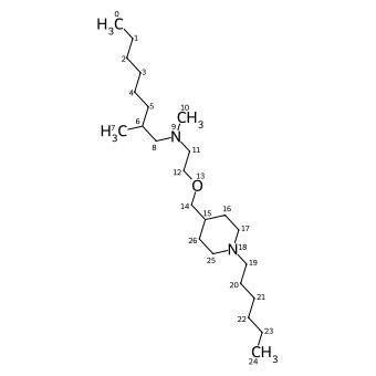 CCCCCCC(C)CN(C)CCOCC1CCN(CCCCCC)CC1